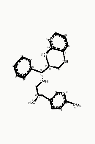 COc1ccc([C@@H](C)CN[C@H](c2ccccc2)[C@@H]2CNc3cccnc3O2)cn1